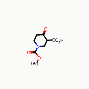 CC(C)(C)OC(=O)N1CCC(=O)C(C(=O)O)C1